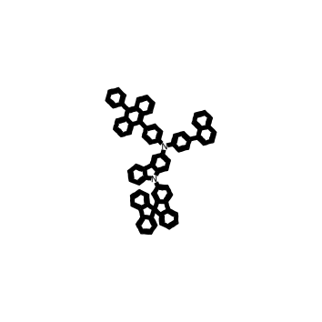 c1ccc(-c2c3ccccc3c(-c3ccc(N(c4ccc(-c5cccc6ccccc56)cc4)c4ccc5c(c4)c4ccccc4n5-c4ccc5c(c4)C4(c6ccccc6-c6ccccc64)c4ccccc4-5)cc3)c3ccccc23)cc1